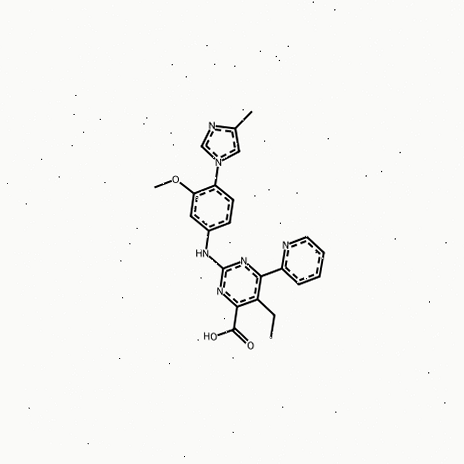 CCc1c(C(=O)O)nc(Nc2ccc(-n3cnc(C)c3)c(OC)c2)nc1-c1ccccn1